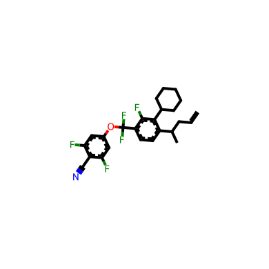 C=CCC(C)c1ccc(C(F)(F)Oc2cc(F)c(C#N)c(F)c2)c(F)c1C1CCCCC1